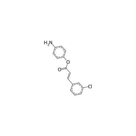 Nc1ccc(OC(=O)/C=C/c2cccc(Cl)c2)cc1